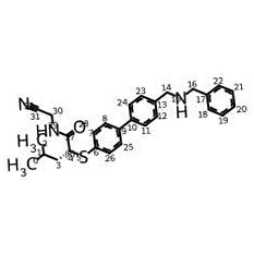 CC(C)C[C@@H](Sc1ccc(-c2ccc(CNCc3ccccc3)cc2)cc1)C(=O)NCC#N